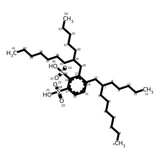 CCCCCCCC(CCCCC)Cc1ccc(S(=O)(=O)O)c(S(=O)(=O)O)c1CC(CCCCC)CCCCCCC